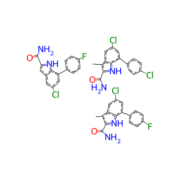 Cc1c(C(N)=O)[nH]c2c(-c3ccc(Cl)cc3)cc(Cl)cc12.Cc1c(C(N)=O)[nH]c2c(-c3ccc(F)cc3)cc(Cl)cc12.NC(=O)c1cc2cc(Cl)cc(-c3ccc(F)cc3)c2[nH]1